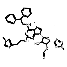 Cn1cnc(CCNc2nc(NCC(c3ccccc3)c3ccccc3)c3ncn([C@@H]4O[C@H](c5nnn(C)n5)[C@@H](OC=O)[C@H]4O)c3n2)c1